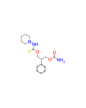 NC(=O)OCC(COC(=S)NN1CCCCC1)c1ccccc1